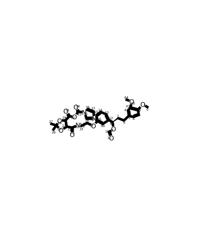 COc1ccc(CC[C@@H](OC=O)c2cccc(OCCNC(=O)C3OC(C)(C)OC3C(=O)OC(=O)n3ccnc3)c2)cc1OC